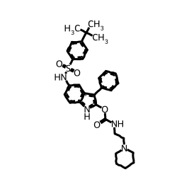 CC(C)(C)c1ccc(S(=O)(=O)Nc2ccc3[nH]c(OC(=O)NCCN4CCCCC4)c(-c4ccccc4)c3c2)cc1